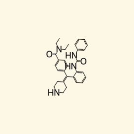 CCN(CC)C(=O)c1ccc(C(=C2CCNCC2)c2ccccc2NC(=O)Nc2ccccc2)cc1